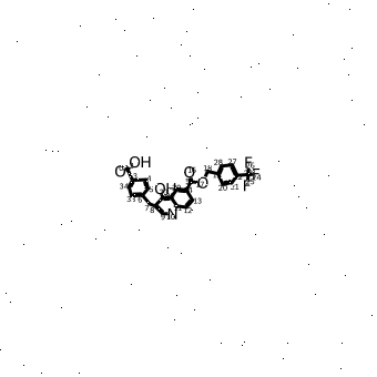 O=C(O)c1ccc(Cc2cnc3ccc(C(=O)OCc4ccc(C(F)(F)F)cc4)cc3c2O)cc1